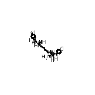 N=C(NCCCCCCNC(N)NC(=N)Nc1ccc(Cl)cc1)NCNc1ccc(Cl)cc1